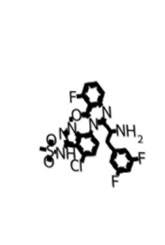 Cn1nc(NS(C)(=O)=O)c2c(Cl)ccc(-n3c(C(N)Cc4cc(F)cc(F)c4)nc4cccc(F)c4c3=O)c21